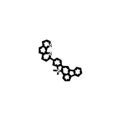 C[Si]1(C)c2cc(-c3ccc4ccc5cccnc5c4n3)ccc2-c2cc3c4c(cccc4c21)-c1ccccc1-3